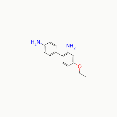 CCOc1ccc(-c2ccc(N)cc2)c(N)c1